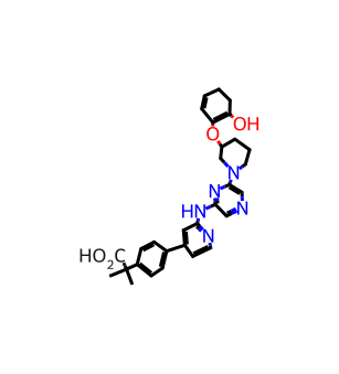 CC(C)(C(=O)O)c1ccc(-c2ccnc(Nc3cncc(N4CCCC(OC5=C(O)CCC=C5)C4)n3)c2)cc1